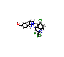 O=CC1CCC(CNc2cc(C(F)(F)F)nc3ccc(Cl)cc23)(c2ccccc2)CC1